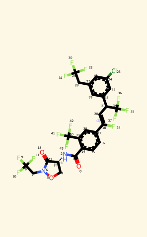 O=C(N[C@@H]1CON(CC(F)(F)F)C1=O)c1ccc(/C(F)=C/C(c2cc(Cl)cc(CC(F)(F)F)c2)C(F)(F)F)cc1C(F)(F)F